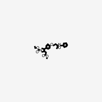 CCOC(=O)N1CC(CC(=O)OC)=C(c2ccc(OCCc3nc(-c4ccccc4)oc3C)cc2)C1